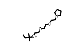 CCC(C)(C)NCCOCCOCCN1CCCC1